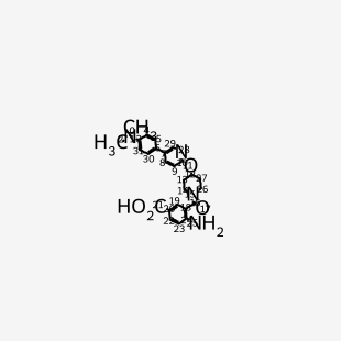 CN(C)c1ccc(-c2ccc(OC3CCN(C(=O)c4cc(C(=O)O)ccc4N)CC3)nc2)cc1